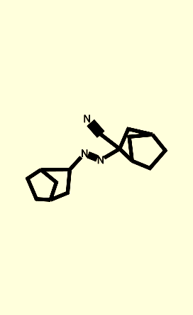 N#CC1(N=NC2CC3CCC2C3)CC2CCC1C2